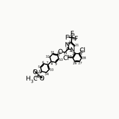 CS(=O)(=O)C1C=CC(C2C=CC(OCc3nc(C(F)(F)F)cn3-c3c(Cl)cccc3Cl)=CC2)=CC1